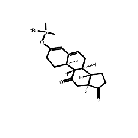 CC(C)(C)[Si](C)(C)OC1=CC2=CC[C@@H]3[C@H](C(=O)C[C@]4(C)C(=O)CC[C@@H]34)[C@@]2(C)CC1